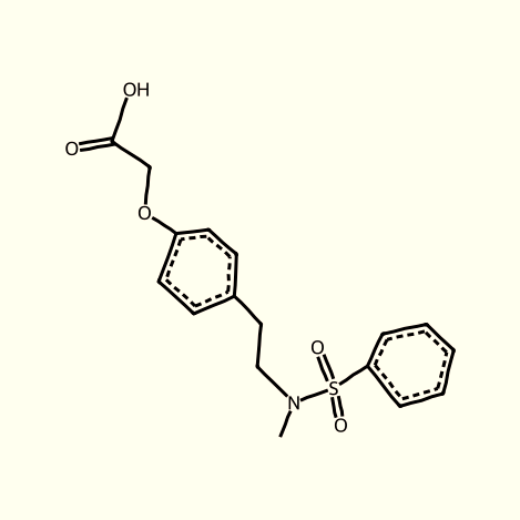 CN(CCc1ccc(OCC(=O)O)cc1)S(=O)(=O)c1ccccc1